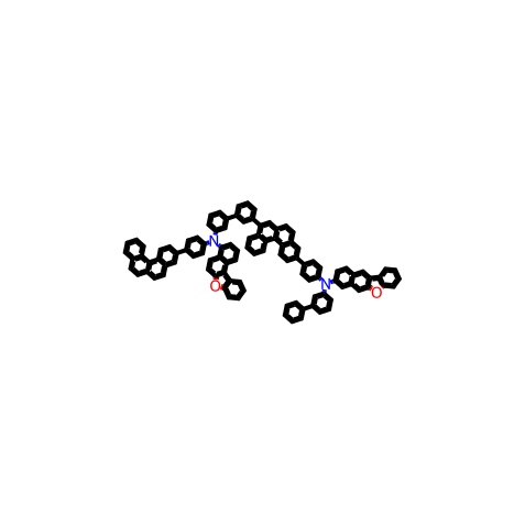 c1ccc(-c2cccc(N(c3ccc(-c4ccc5c(ccc6cc(-c7cccc(-c8cccc(N(c9ccc(-c%10ccc%11c(ccc%12ccc%13ccccc%13c%12%11)c%10)cc9)c9cccc%10c9ccc9oc%11ccccc%11c9%10)c8)c7)c7ccccc7c65)c4)cc3)c3ccc4cc5c(cc4c3)oc3ccccc35)c2)cc1